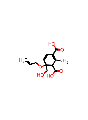 C=CCOC1(CO)C=CC(C(=O)O)=C(C)C1C(=O)O